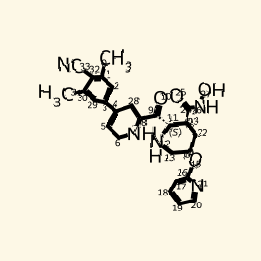 Cc1cc(C2=CCNC(C(=O)[C@H]3NC[C@@H](Oc4ccccn4)C[C@@H]3C(=O)NO)C2)cc(C)c1C#N